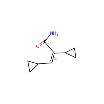 NC(=O)/C(=C\C1CC1)C1CC1